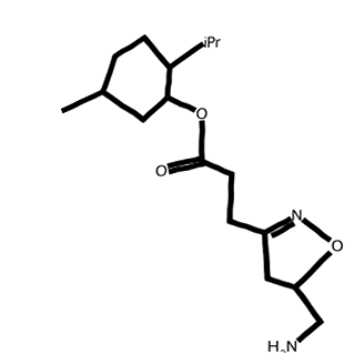 CC1CCC(C(C)C)C(OC(=O)CCC2=NOC(CN)C2)C1